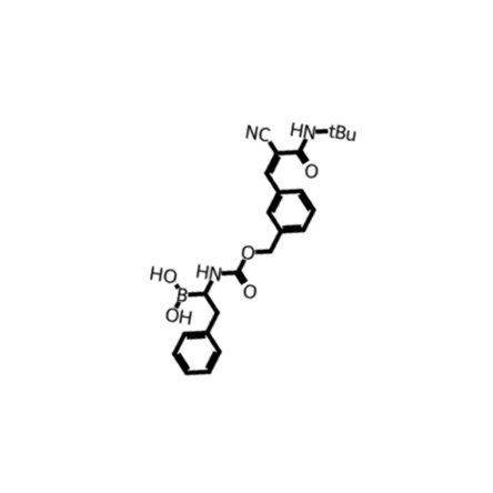 CC(C)(C)NC(=O)C(C#N)=Cc1cccc(COC(=O)NC(Cc2ccccc2)B(O)O)c1